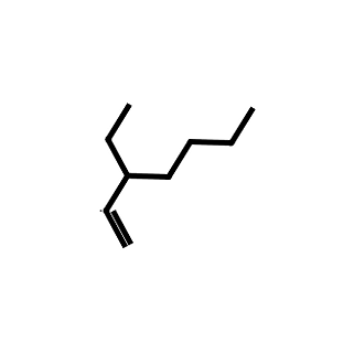 C=[C]C(CC)CCCC